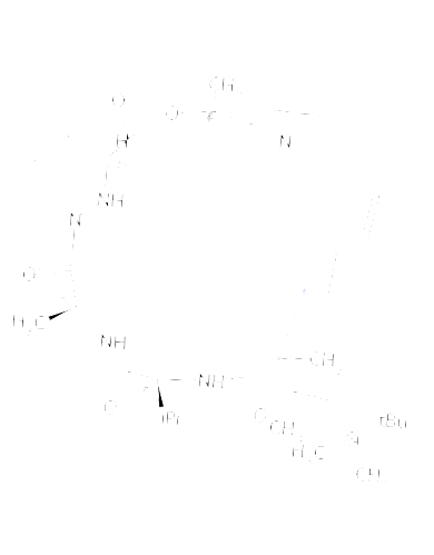 CC(C)[C@@H]1NC(=O)C(C)(C(C)C[Si](C)(C)C(C)(C)C)/C=C/c2ccc3ccc(nc3c2)[C@@H](C)OC(=O)[C@@H]2CCCN(N2)C(=O)[C@H](C)NC1=O